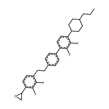 CCCC1CCC(c2ccc(-c3ccc(CCc4ccc(C5CO5)c(F)c4F)cc3)c(F)c2F)CC1